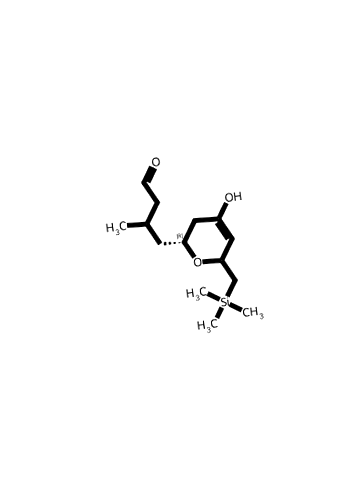 CC(CC=O)C[C@@H]1CC(O)=CC(C[Si](C)(C)C)O1